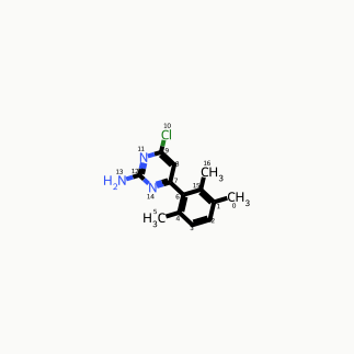 Cc1ccc(C)c(-c2cc(Cl)nc(N)n2)c1C